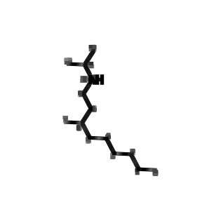 CCCCCCC(C)CCNC(C)C